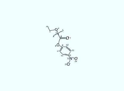 CCOC(C)(C)C(=O)Oc1ccc([N+](=O)[O-])cc1